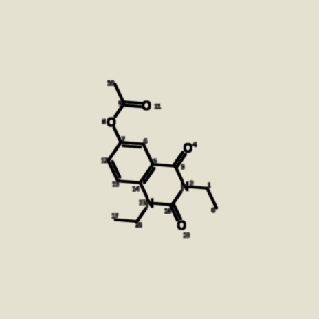 CCn1c(=O)c2cc(OC(C)=O)ccc2n(CC)c1=O